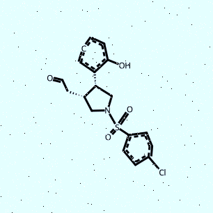 O=CC[C@H]1CN(S(=O)(=O)c2ccc(Cl)cc2)C[C@H]1c1ccccc1O